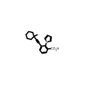 CC1(C#Cc2cccc(C(=O)O)c2-n2cccc2)CCCCC1